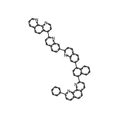 c1ccc(-c2ccc3ccc4ccc(-c5ccc(-c6ccc7ccc(-c8ccc9ccc(-c%10ccnc%11c%10ccc%10cccnc%10%11)nc9c8)nc7c6)c6ccccc56)nc4c3n2)cc1